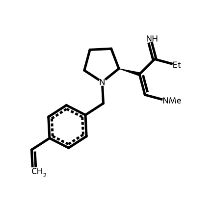 C=Cc1ccc(CN2CCC[C@H]2/C(=C/NC)C(=N)CC)cc1